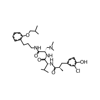 CC(C)COc1ccccc1CCCNC(=O)[C@H](CN(C)C)NC(=O)[C@H](NC(=O)[C@H](C)Cc1ccc(O)c(Cl)c1)C(C)C